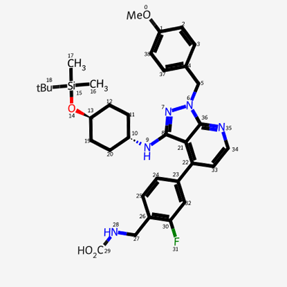 COc1ccc(Cn2nc(N[C@H]3CC[C@H](O[Si](C)(C)C(C)(C)C)CC3)c3c(-c4ccc(CNC(=O)O)c(F)c4)ccnc32)cc1